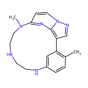 Cc1ccc2cc1-c1cnn3ccc(nc13)N(C)CCNCCN2